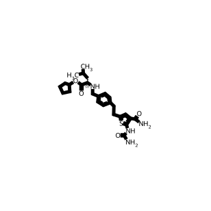 CC(C)C[C@H](NCc1ccc(CCc2cc(C(N)=O)c(NC(N)=O)s2)cc1)C(=O)OC1CCCC1